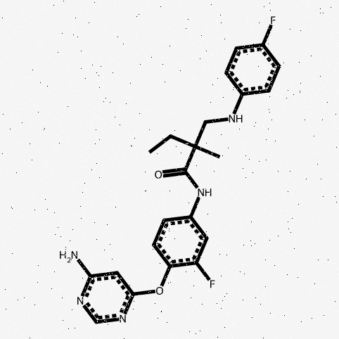 CCC(C)(CNc1ccc(F)cc1)C(=O)Nc1ccc(Oc2cc(N)ncn2)c(F)c1